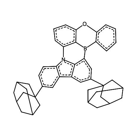 c1ccc2c(c1)Oc1cccc3c1B2c1cc(C24CC5CC(CC(C5)C2)C4)cc2c4cc(C56CC7CC(CC(C7)C5)C6)ccc4n-3c12